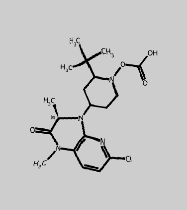 C[C@@H]1C(=O)N(C)c2ccc(Cl)nc2N1C1CCN(OC(=O)O)C(C(C)(C)C)C1